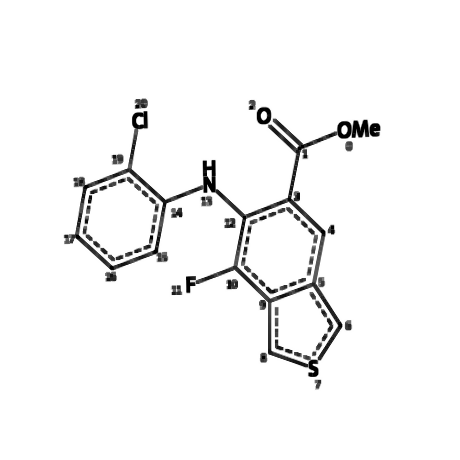 COC(=O)c1cc2cscc2c(F)c1Nc1ccccc1Cl